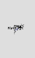 C=C/C=C(\C=C\Oc1ccccc1)C(OC)(OC)OC